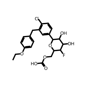 CCOc1ccc(Cc2cc(C3OC(COC(=O)O)C(F)C(O)C3O)ccc2Cl)cc1